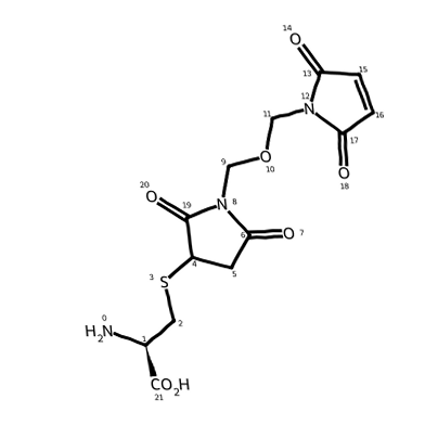 N[C@@H](CSC1CC(=O)N(COCN2C(=O)C=CC2=O)C1=O)C(=O)O